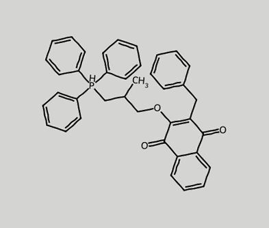 CC(COC1=C(Cc2ccccc2)C(=O)c2ccccc2C1=O)C[PH](c1ccccc1)(c1ccccc1)c1ccccc1